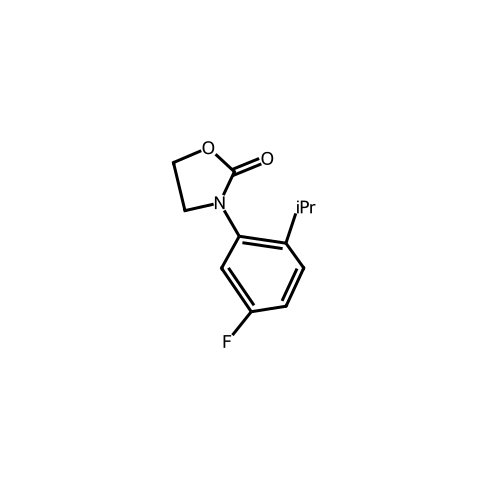 CC(C)c1ccc(F)cc1N1CCOC1=O